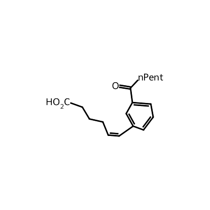 CCCCCC(=O)c1cccc(/C=C\CCCC(=O)O)c1